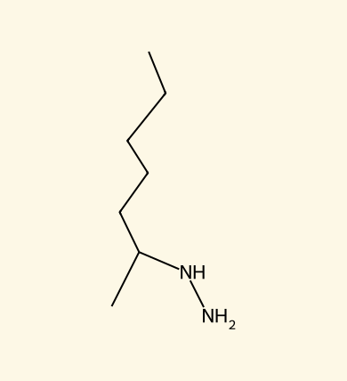 CCCCCC(C)NN